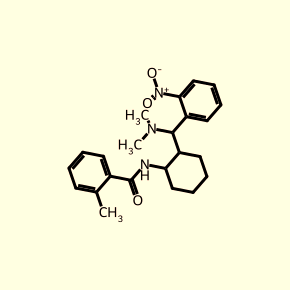 Cc1ccccc1C(=O)NC1CCCCC1C(c1ccccc1[N+](=O)[O-])N(C)C